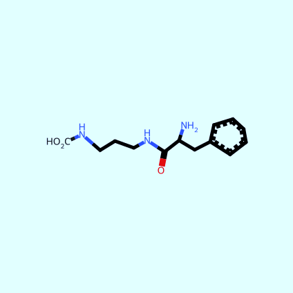 NC(Cc1ccccc1)C(=O)NCCCNC(=O)O